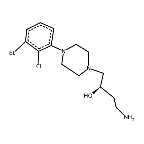 CCc1cccc(N2CCN(C[C@H](O)CCN)CC2)c1Cl